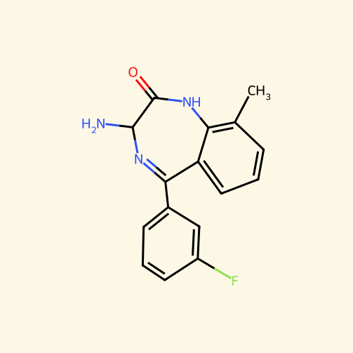 Cc1cccc2c1NC(=O)C(N)N=C2c1cccc(F)c1